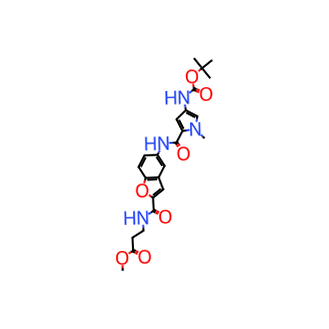 COC(=O)CCNC(=O)c1cc2cc(NC(=O)c3cc(NC(=O)OC(C)(C)C)cn3C)ccc2o1